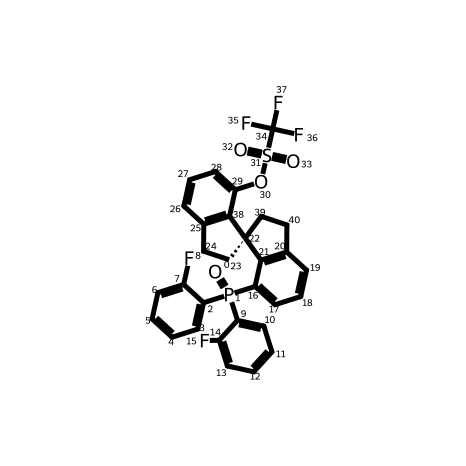 O=P(c1ccccc1F)(c1ccccc1F)c1cccc2c1[C@]1(CCc3cccc(OS(=O)(=O)C(F)(F)F)c31)CC2